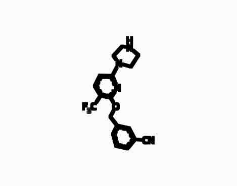 N#Cc1cccc(COc2nc(N3CCNCC3)ccc2C(F)(F)F)c1